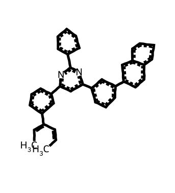 C/C=C\C(=C/C)c1cccc(-c2cc(-c3cccc(-c4ccc5ccccc5c4)c3)nc(-c3ccccc3)n2)c1